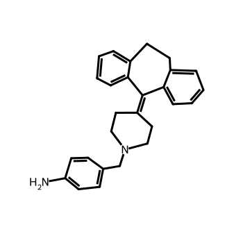 Nc1ccc(CN2CCC(=C3c4ccccc4CCc4ccccc43)CC2)cc1